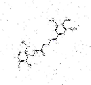 COc1cc(/C=C/C=C/C(=O)NCc2c(CO)cnc(C)c2O)cc(OC)c1OC